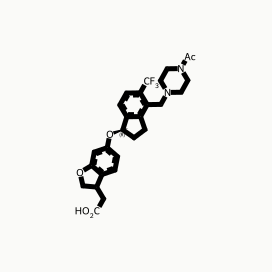 CC(=O)N1CCN(Cc2c(C(F)(F)F)ccc3c2CC[C@H]3Oc2ccc3c(c2)OCC3CC(=O)O)CC1